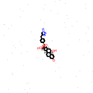 C[C@]12C[C@H](O)[C@H]3[C@@H](CCC4=CC(=O)C=C[C@@]43C)[C@]1(C)C[C@H]1O[C@@H](c3ccc(Cc4c[nH]nn4)cc3)O[C@]12C(=O)CO